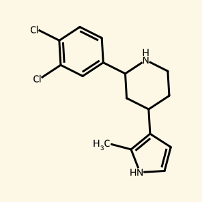 Cc1[nH]ccc1C1CCNC(c2ccc(Cl)c(Cl)c2)C1